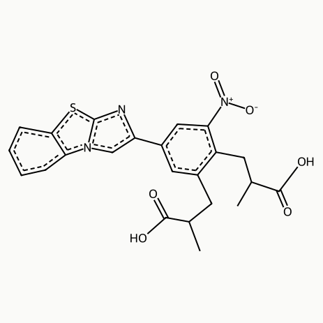 CC(Cc1cc(-c2cn3c(n2)sc2ccccc23)cc([N+](=O)[O-])c1CC(C)C(=O)O)C(=O)O